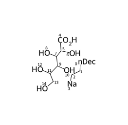 CCCCCCCCCCC[CH2][Na].O=C(O)C(O)C(O)C(O)C(O)CO